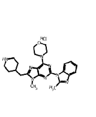 Cc1nc2ccccc2n1-c1nc(N2CCOCC2)c2nc(CC3CCNCC3)n(C)c2n1.Cl